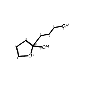 OCCCC1(O)CCCO1